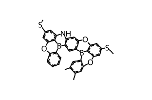 CSc1cc2c3c(c1)Oc1ccccc1B3c1cc3c(cc1N2)Oc1cc(SC)cc2c1B3c1cc(C)c(C)cc1O2